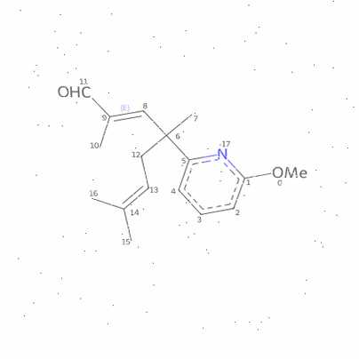 COc1cccc(C(C)(/C=C(\C)C=O)CC=C(C)C)n1